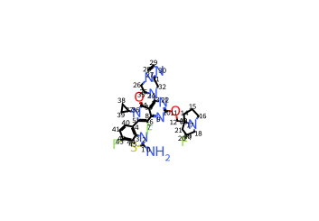 Nc1nc2c(-c3c(F)c4nc(OC[C@@]56CCCN5C[C@H](F)C6)nc(N5CCn6ccnc6C5)c4c(=O)n3C3CC3)ccc(F)c2s1